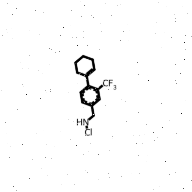 FC(F)(F)c1cc(CNCl)ccc1C1=CCCCC1